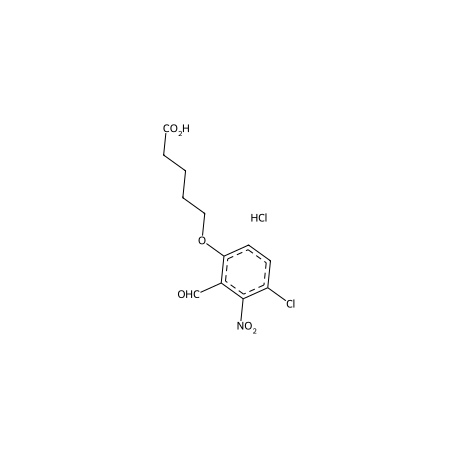 Cl.O=Cc1c(OCCCCC(=O)O)ccc(Cl)c1[N+](=O)[O-]